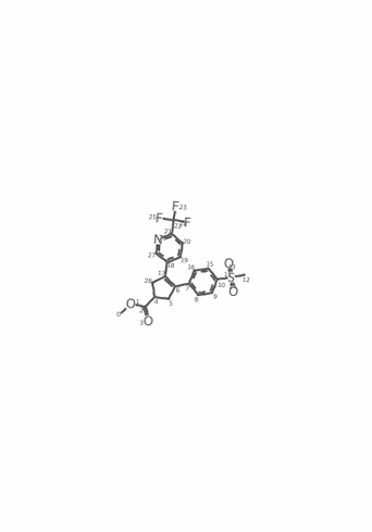 COC(=O)C1CC(c2ccc(S(C)(=O)=O)cc2)=C(c2ccc(C(F)(F)F)nc2)C1